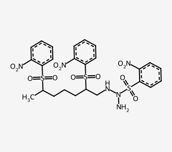 CC(CCCC(CNN(N)S(=O)(=O)c1ccccc1[N+](=O)[O-])S(=O)(=O)c1ccccc1[N+](=O)[O-])S(=O)(=O)c1ccccc1[N+](=O)[O-]